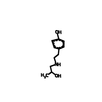 CC(O)CNCCc1ccc(O)cc1